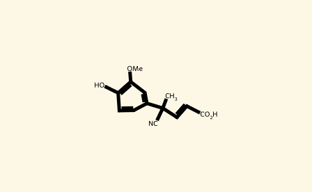 COc1cc(C(C)(C#N)C=CC(=O)O)ccc1O